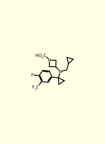 O=C(O)N1CC(N(CC2CC2)C2(c3ccc(F)c(C(F)(F)F)c3)CC2)C1